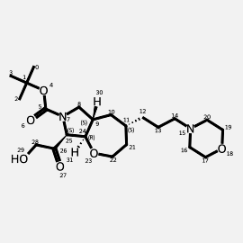 CC(C)(C)OC(=O)N1C[C@@H]2C[C@H](CCCN3CCOCC3)CCO[C@H]2[C@H]1C(=O)CO